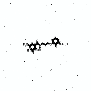 Cc1c(OCCCNC(=O)c2cc(C(F)(F)F)n(C)c(=O)c2O)cccc1C(=O)O